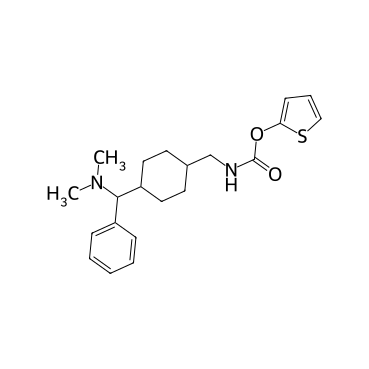 CN(C)C(c1ccccc1)C1CCC(CNC(=O)Oc2cccs2)CC1